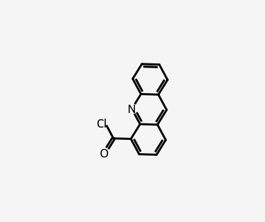 O=C(Cl)c1cccc2cc3ccccc3nc12